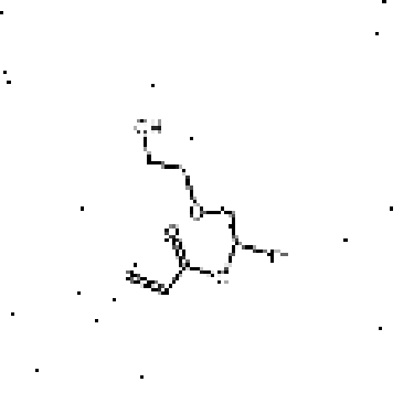 C=CC(=O)OC(CC)COCCO